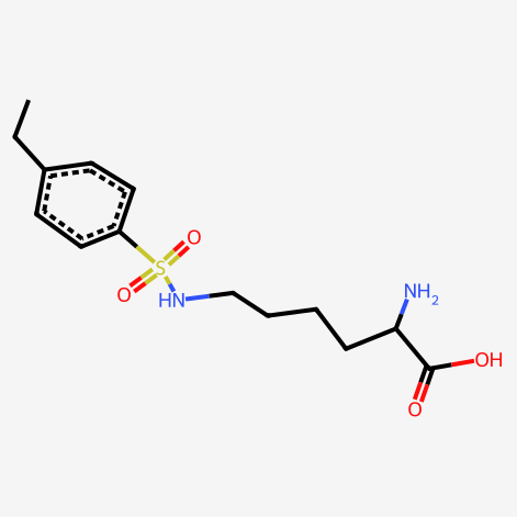 CCc1ccc(S(=O)(=O)NCCCCC(N)C(=O)O)cc1